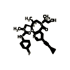 C[C@H](CO)N1C[C@H](C)[C@H](CN(C)C(=O)Nc2ccc(F)cc2)Oc2ncc(C#CC3CC3)cc2C1=O